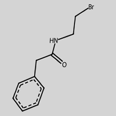 O=C(Cc1ccccc1)NCCBr